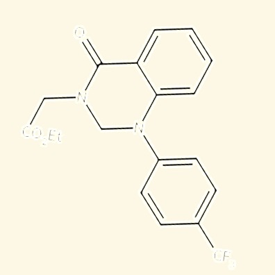 CCOC(=O)CN1CN(c2ccc(C(F)(F)F)cc2)c2ccccc2C1=O